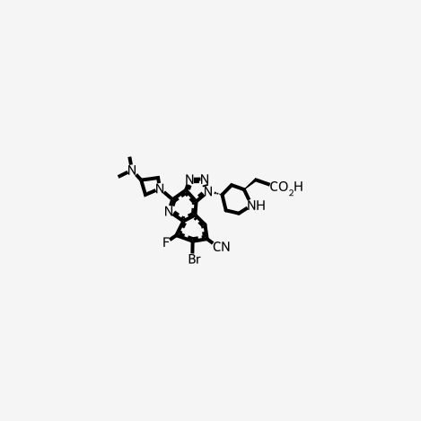 CN(C)C1CN(c2nc3c(F)c(Br)c(C#N)cc3c3c2nnn3[C@H]2CCN[C@H](CC(=O)O)C2)C1